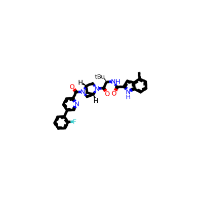 Cc1cccc2[nH]c(C(=O)N[C@H](C(=O)N3C[C@@H]4C[C@H]3CN4C(=O)c3ccc(-c4ccccc4F)cn3)C(C)(C)C)cc12